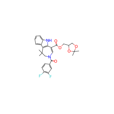 CC1(C)OCC(COC(=O)C2=CN(C(=O)c3ccc(F)c(F)c3)CC(C)(C)c3c2[nH]c2ccccc32)O1